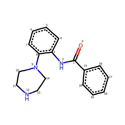 O=C(Nc1ccccc1N1CCNCC1)c1[c]cccc1